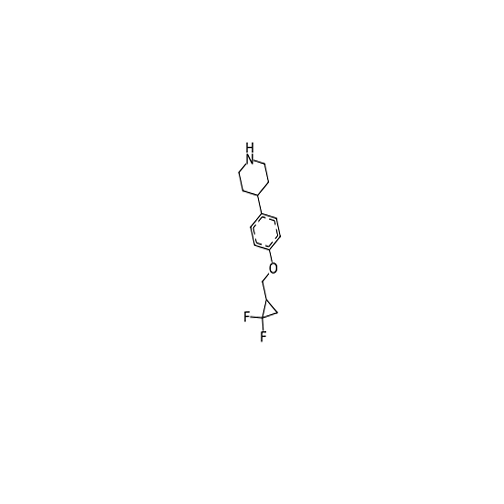 FC1(F)CC1COc1ccc(C2CCNCC2)cc1